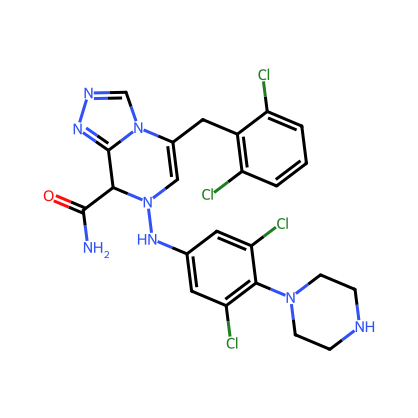 NC(=O)C1c2nncn2C(Cc2c(Cl)cccc2Cl)=CN1Nc1cc(Cl)c(N2CCNCC2)c(Cl)c1